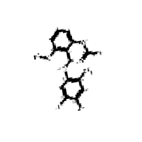 CCOc1cccc(OC(=O)CC)c1COc1cc(F)c(CC)cc1C(F)(F)F